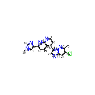 Cc1nn2c(-c3ccnc4nc(-c5cn(C)cn5)ccc34)cnc2cc1Cl